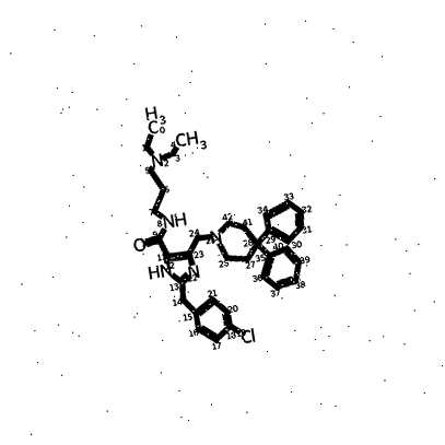 CCN(CC)CCCNC(=O)c1[nH]c(Cc2ccc(Cl)cc2)nc1CN1CCC(c2ccccc2)(c2ccccc2)CC1